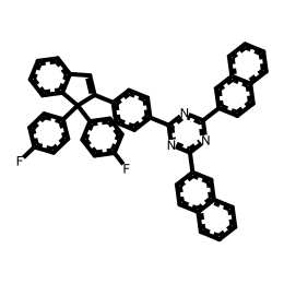 Fc1ccc(C2(c3ccc(F)cc3)C(c3ccc(-c4nc(-c5ccc6ccccc6c5)nc(-c5ccc6ccccc6c5)n4)cc3)=Cc3ccccc32)cc1